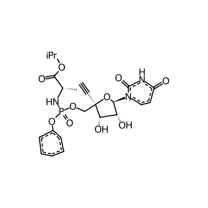 C#C[C@]1(COP(=O)(N[C@@H](C)C(=O)OC(C)C)Oc2ccccc2)O[C@@H](n2ccc(=O)[nH]c2=O)[C@H](O)[C@@H]1O